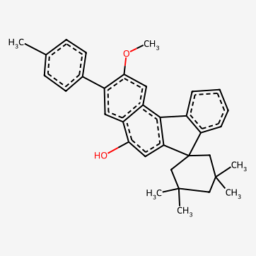 COc1cc2c3c(cc(O)c2cc1-c1ccc(C)cc1)C1(CC(C)(C)CC(C)(C)C1)c1ccccc1-3